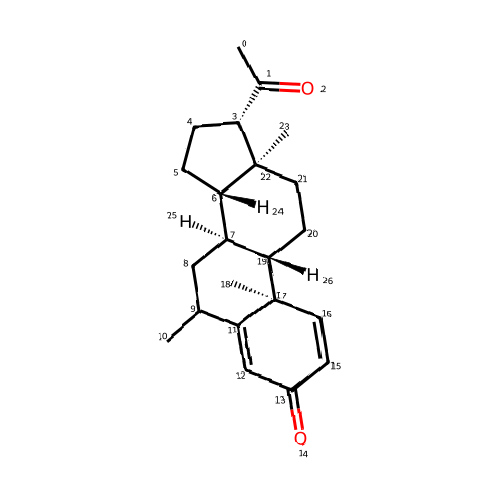 CC(=O)[C@H]1CC[C@H]2[C@@H]3CC(C)C4=CC(=O)C=C[C@]4(C)[C@H]3CC[C@]12C